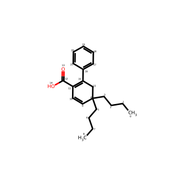 CCCCC1(CCCC)C=CC(C(=O)O)=C(c2ccccc2)C1